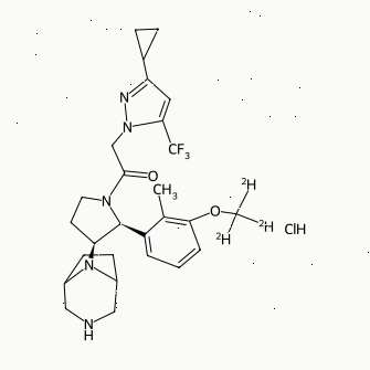 Cl.[2H]C([2H])([2H])Oc1cccc([C@H]2[C@@H](N3C4CCC3CNC4)CCN2C(=O)Cn2nc(C3CC3)cc2C(F)(F)F)c1C